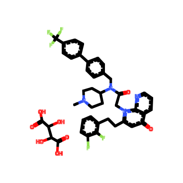 CN1CCC(N(Cc2ccc(-c3ccc(C(F)(F)F)cc3)cc2)C(=O)Cn2c(CCc3cccc(F)c3F)cc(=O)c3cccnc32)CC1.O=C(O)C(O)C(O)C(=O)O